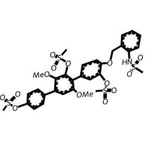 COc1cc(-c2ccc(OS(C)(=O)=O)cc2)c(OC)c(OS(C)(=O)=O)c1-c1ccc(OCc2ccccc2NS(C)(=O)=O)c(OS(C)(=O)=O)c1